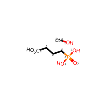 CCO.O=C(O)CCCP(=O)(O)O